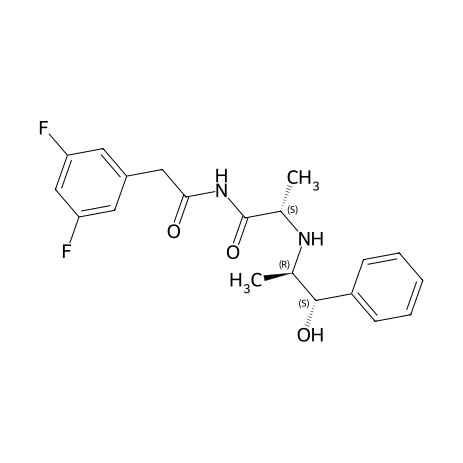 C[C@H](N[C@H](C)[C@@H](O)c1ccccc1)C(=O)NC(=O)Cc1cc(F)cc(F)c1